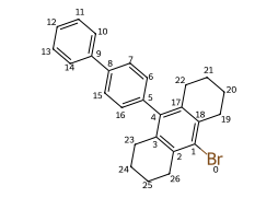 Brc1c2c(c(-c3ccc(-c4ccccc4)cc3)c3c1CCCC3)CCCC2